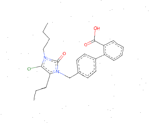 CCCCn1c(Cl)c(CCC)n(Cc2ccc(-c3ccccc3C(=O)O)cc2)c1=O